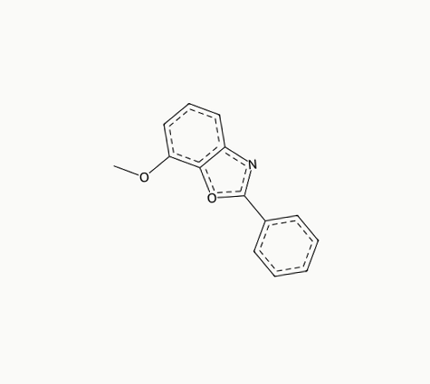 COc1cccc2nc(-c3ccccc3)oc12